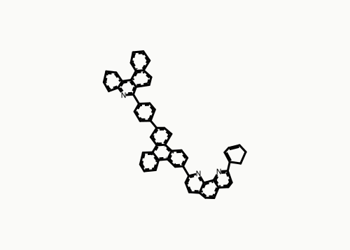 C1=CCCC(c2ccc3ccc4ccc(-c5ccc6c7ccc(-c8ccc(-c9nc%10ccccc%10c%10c9ccc9ccccc9%10)cc8)cc7c7ccccc7c6c5)nc4c3n2)=C1